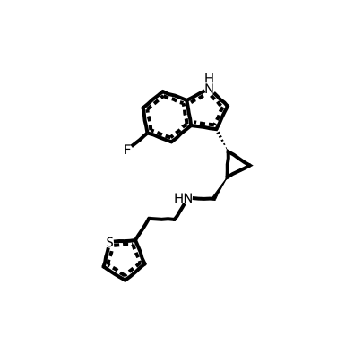 Fc1ccc2[nH]cc([C@@H]3C[C@H]3CNCCc3cccs3)c2c1